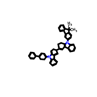 CC1(C)c2ccccc2-c2cc(-n3c4c(c5ccccc53)C=C(C3C=c5c(n(C6=CC=C(c7ccccc7)CC6)c6ccccc56)=CC3)CC4)ccc21